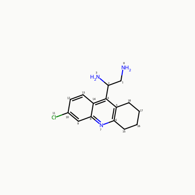 NCC(N)c1c2c(nc3cc(Cl)ccc13)CCCC2